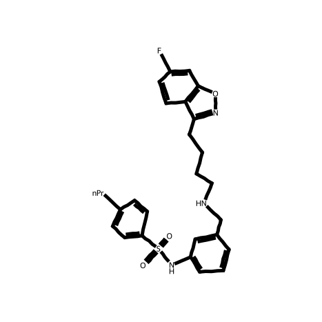 CCCc1ccc(S(=O)(=O)Nc2cccc(CNCCCCc3noc4cc(F)ccc34)c2)cc1